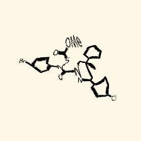 COC(=O)SN(C(=O)N1CC(C)(c2ccccc2)C(c2ccc(Cl)cc2)=N1)c1ccc(Br)cc1